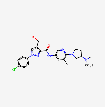 Cc1cc(NC(=O)c2nn(-c3ccc(Cl)cc3)cc2CO)cnc1N1CCC(N(C)C(=O)O)C1